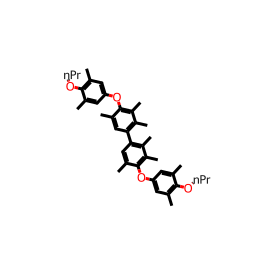 CCCOc1c(C)cc(Oc2c(C)cc(-c3cc(C)c(Oc4cc(C)c(OCCC)c(C)c4)c(C)c3C)c(C)c2C)cc1C